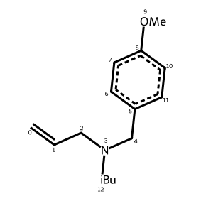 C=CCN(Cc1ccc(OC)cc1)C(C)CC